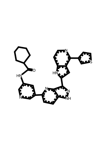 O=C(Nc1cncc(-c2ccc3[nH]nc(-c4cc5c(-c6ccsc6)nccc5[nH]4)c3n2)c1)C1CCCCC1